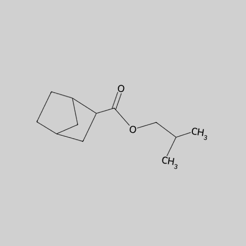 CC(C)COC(=O)C1CC2CCC1C2